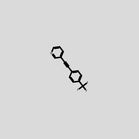 FC(F)(F)c1ccc(C#Cc2cccnc2)cc1